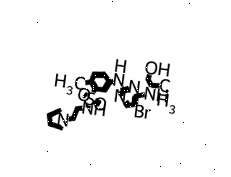 Cc1ccc(Nc2ncc(Br)c(NC(C)CO)n2)cc1S(=O)(=O)NCCN1CCCC1